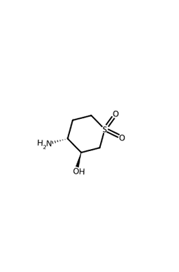 N[C@@H]1CCS(=O)(=O)C[C@H]1O